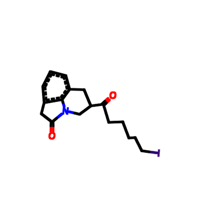 O=C(CCCCCI)C1Cc2cccc3c2N(C1)C(=O)C3